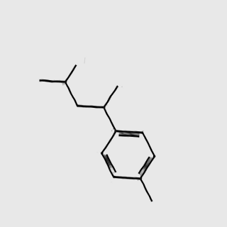 Cc1ccc(C(C)CC(C)O)cc1